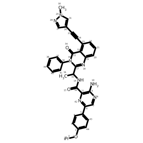 CC(C)Oc1ccc(-c2cnc(N)c(C(=O)NC(C)c3nc4cccc(C#Cc5cnn(C)c5)c4c(=O)n3-c3ccccc3)n2)cc1